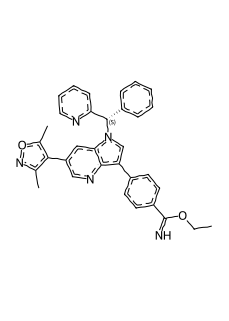 CCOC(=N)c1ccc(-c2cn([C@@H](c3ccccc3)c3ccccn3)c3cc(-c4c(C)noc4C)cnc23)cc1